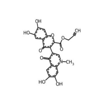 C#CCOC(=O)c1oc2cc(O)c(O)cc2c(=O)c1-c1cn(C)c2cc(O)c(O)cc2c1=O